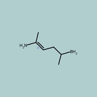 BC(C)C/C=C(\C)N